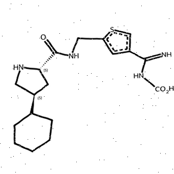 N=C(NC(=O)O)c1csc(CNC(=O)[C@@H]2C[C@@H](C3CCCCC3)CN2)c1